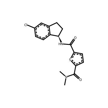 CN(C)C(=O)c1ccc(C(=O)N[C@@H]2CCc3cc(Cl)ccc32)s1